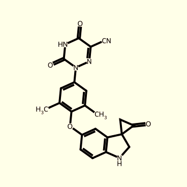 Cc1cc(-n2nc(C#N)c(=O)[nH]c2=O)cc(C)c1Oc1ccc2c(c1)C1(CN2)CC1=O